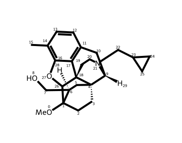 COC12CC[C@@]3(C[C@@H]1CO)[C@H]1Cc4ccc(C)c5c4[C@@]3(CCN1CC1CC1)C2O5